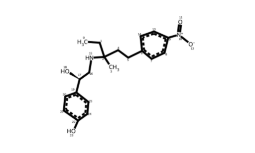 CCC(C)(CCc1ccc([N+](=O)[O-])cc1)NC[C@H](O)c1ccc(O)cc1